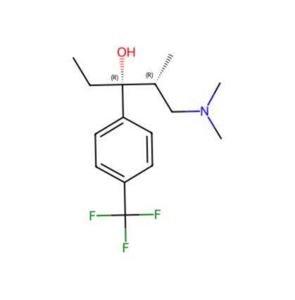 CC[C@](O)(c1ccc(C(F)(F)F)cc1)[C@H](C)CN(C)C